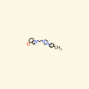 Cc1ccc(N2CCN(CCCn3ccc4c3CCCC4=O)CC2)cc1